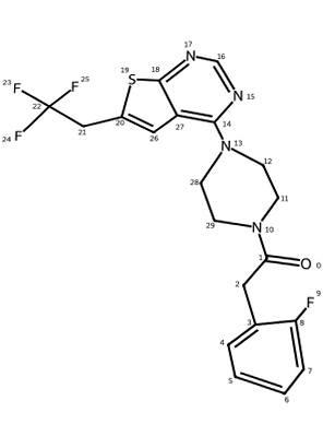 O=C(Cc1ccccc1F)N1CCN(c2ncnc3sc(CC(F)(F)F)cc23)CC1